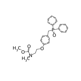 COC(=O)N(C)CCOc1ccc(CP(=O)(c2ccccc2)c2ccccc2)cc1